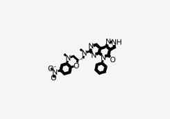 CN(C[C@H]1CN(C)c2cc([N+](=O)[O-])ccc2O1)c1ncc2c3n[nH]cc3c(=O)n(-c3ccccc3)c2n1